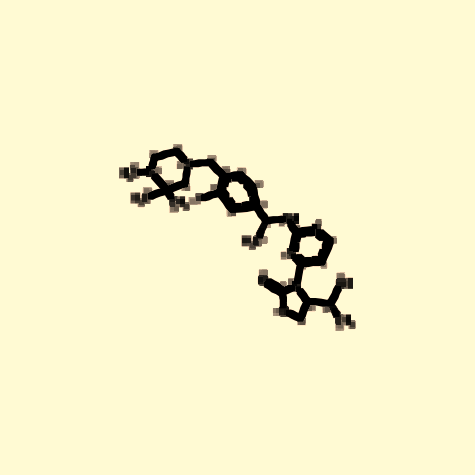 C[C@H](Nc1nccc(N2C(=O)OCC2[C@H](C)O)n1)c1ccc(CN2CCN(C)C(C)(C)C2)c(F)c1